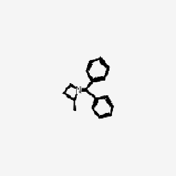 C[C@H]1CCN1C(c1ccccc1)c1ccccc1